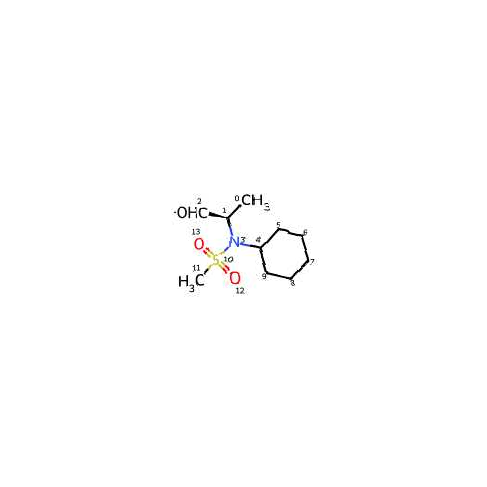 C[C@H]([C]=O)N(C1CCCCC1)S(C)(=O)=O